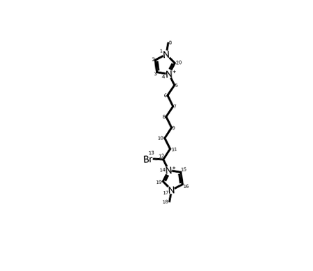 Cn1cc[n+](CCCCCCCC(Br)[n+]2ccn(C)c2)c1